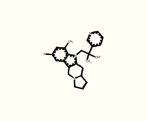 Cc1cc(F)cc2c3c(n(CC(C)(O)c4cccnc4)c12)CC1CCCN1C3